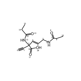 C#CC(C=CCNC(=O)CC)(NC(=O)CC)C(=O)O